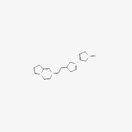 CC(C)N1CC[C@H](N2CCC(C[C@H](C)N3CCN4CCC[C@H]4C3)C2)C1